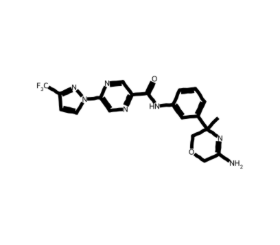 CC1(c2cccc(NC(=O)c3cnc(-n4ccc(C(F)(F)F)n4)cn3)c2)COCC(N)=N1